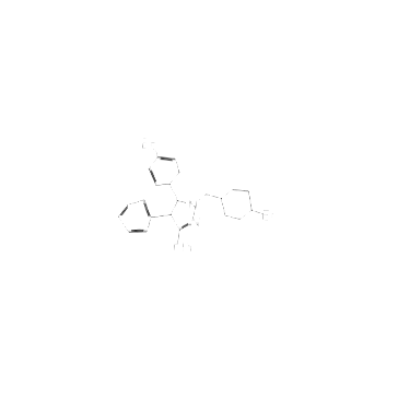 CCCC1=NN(CC2CCC(CC)CC2)C(C2C=CC(CC)=CC2)C1c1ccccc1